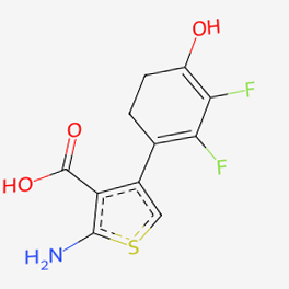 Nc1scc(C2=C(F)C(F)=C(O)CC2)c1C(=O)O